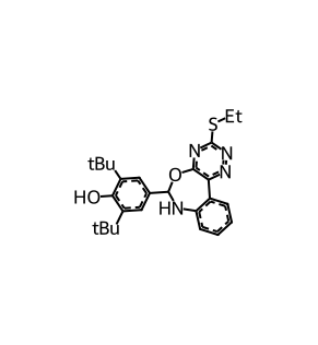 CCSc1nnc2c(n1)OC(c1cc(C(C)(C)C)c(O)c(C(C)(C)C)c1)Nc1ccccc1-2